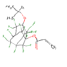 C=CC(=O)OC12C(F)(F)C3(F)C(F)(F)C(F)(C1(F)F)C(F)(F)C(OC(C)(C)CC)(C3(F)F)C2(F)F